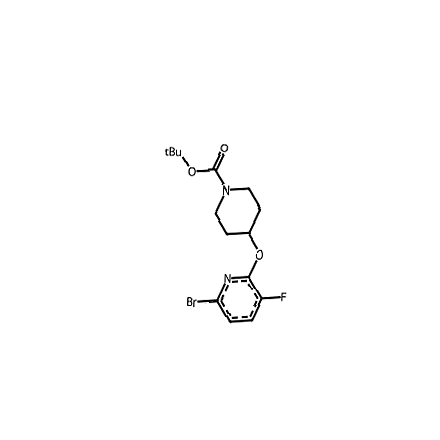 CC(C)(C)OC(=O)N1CCC(Oc2nc(Br)ccc2F)CC1